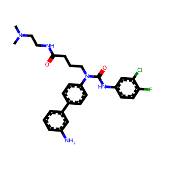 CN(C)CCNC(=O)CCCN(C(=O)Nc1ccc(F)c(Cl)c1)c1ccc(-c2cccc(N)c2)cc1